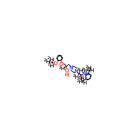 [2H]C(O)(COc1ccccc1OC([2H])([2H])[2H])CN1CCN(C([2H])([2H])C(=O)Nc2c(C([2H])([2H])[2H])cccc2C([2H])([2H])[2H])CC1